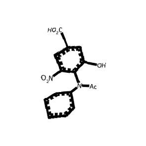 CC(=O)N(c1ccccc1)c1c(O)cc(C(=O)O)cc1[N+](=O)[O-]